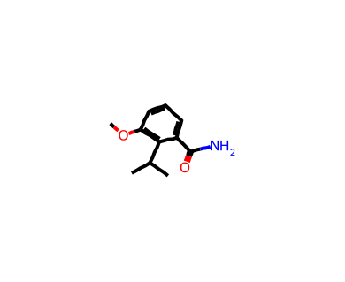 COc1cccc(C(N)=O)c1C(C)C